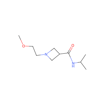 COCCN1CC(C(=O)NC(C)C)C1